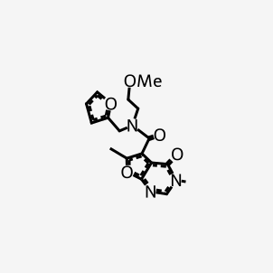 COCCN(Cc1ccco1)C(=O)c1c(C)oc2ncn(C)c(=O)c12